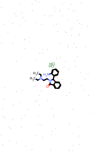 CCN(CC)CCN1C(=O)c2ccccc2C1c1ccccc1N.Cl.Cl